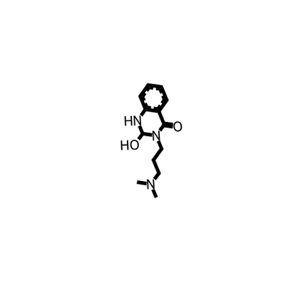 CN(C)CCCN1C(=O)c2ccccc2NC1O